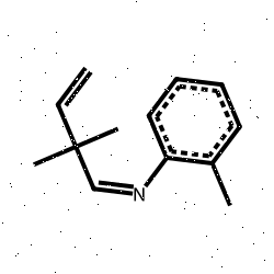 C=CC(C)(C)/C=N\c1ccccc1C